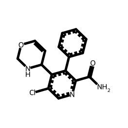 NC(=O)c1ncc(Cl)c(C2C=COCN2)c1-c1ccccc1